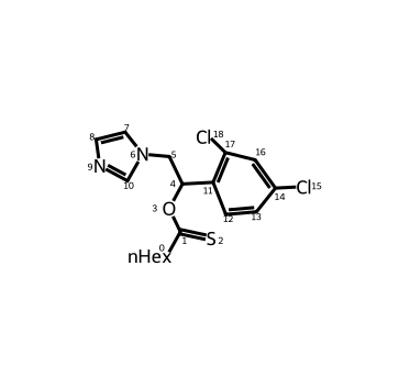 CCCCCCC(=S)OC(Cn1ccnc1)c1ccc(Cl)cc1Cl